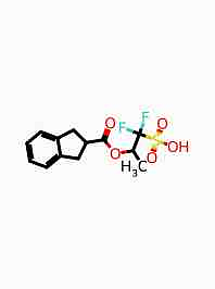 CC(OC(=O)C1Cc2ccccc2C1)C(F)(F)S(=O)(=O)O